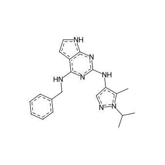 Cc1c(Nc2nc(NCc3ccccc3)c3cc[nH]c3n2)cnn1C(C)C